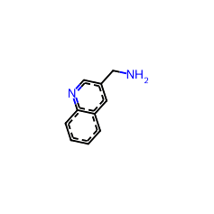 NCc1cnc2ccccc2c1